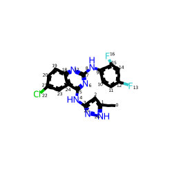 Cc1cc(Nc2nc(Nc3ccc(F)cc3F)nc3ccc(Cl)cc23)n[nH]1